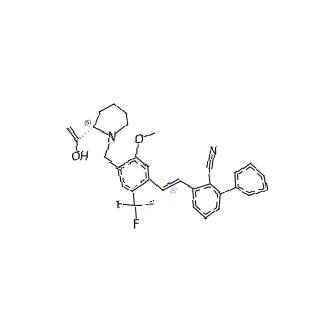 C=C(O)[C@@H]1CCCCN1Cc1cc(C(F)(F)F)c(/C=C/c2cccc(-c3ccccc3)c2C#N)cc1OC